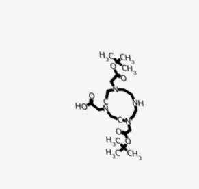 CC(C)(C)OC(=O)CN1CCNCCN(CC(=O)OC(C)(C)C)CCN(CC(=O)O)CC1